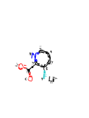 O=C([O-])c1ncccc1F.[Li+]